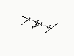 CCCCCCCCC(CCCCCC)C(=O)OCCCCCOC(=O)CCC(OC(=O)OCCN(C)C)C(=O)OCCCCCOC(=O)C(CCCCCC)CCCCCCCC